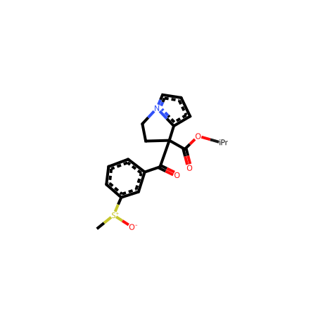 CC(C)OC(=O)C1(C(=O)c2cccc([S+](C)[O-])c2)CCn2cccc21